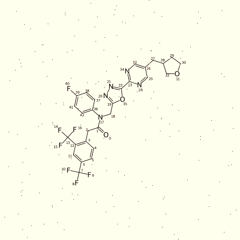 O=C(Cc1ccc(C(F)(F)F)cc1C(F)(F)F)N(Cc1nnc(-c2ncc(CC3CCOC3)cn2)o1)c1ccc(F)cc1